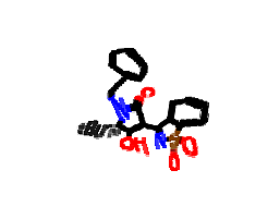 CC(C)(C)[C@H]1C(O)=C(C2=NS(=O)(=O)c3ccccc32)C(=O)N1Cc1ccccc1